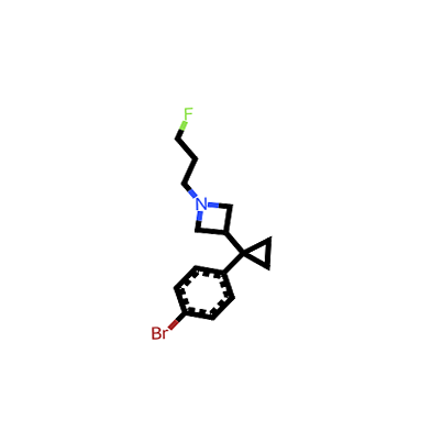 FCCCN1CC(C2(c3ccc(Br)cc3)CC2)C1